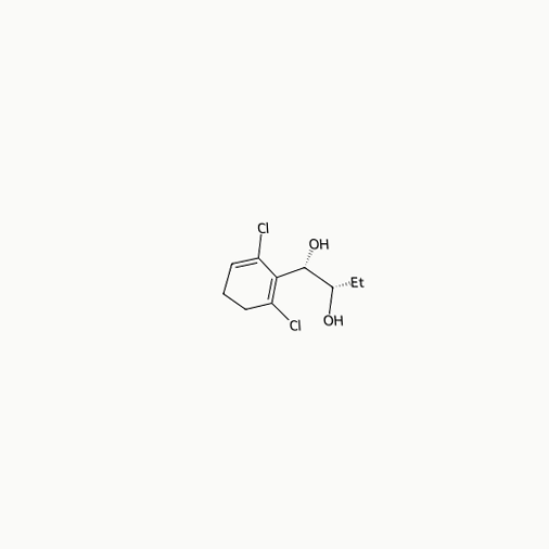 CC[C@H](O)[C@@H](O)C1=C(Cl)CCC=C1Cl